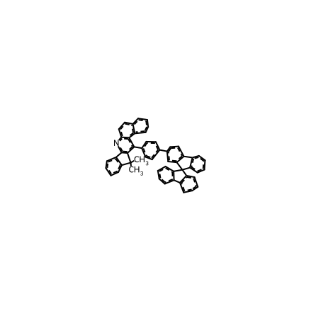 CC1(C)c2ccccc2-c2nc3ccc4ccccc4c3c(-c3ccc(-c4ccc5c(c4)C4(c6ccccc6-c6ccccc64)c4ccccc4-5)cc3)c21